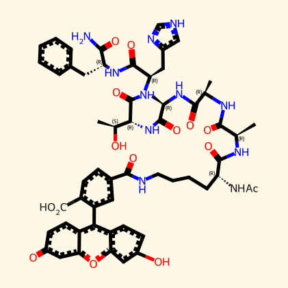 CC(=O)N[C@H](CCCCNC(=O)c1ccc(C(=O)O)c(-c2c3ccc(=O)cc-3oc3cc(O)ccc23)c1)C(=O)N[C@H](C)C(=O)N[C@H](C)C(=O)N[C@H](C)C(=O)N[C@@H](C(=O)N[C@H](Cc1c[nH]cn1)C(=O)N[C@H](Cc1ccccc1)C(N)=O)[C@H](C)O